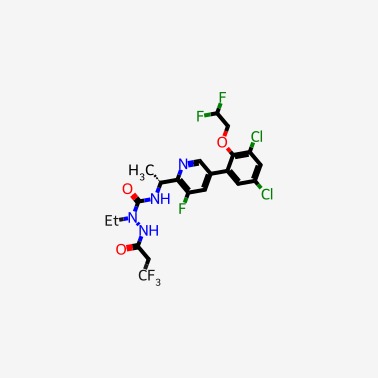 CCN(NC(=O)CC(F)(F)F)C(=O)N[C@H](C)c1ncc(-c2cc(Cl)cc(Cl)c2OCC(F)F)cc1F